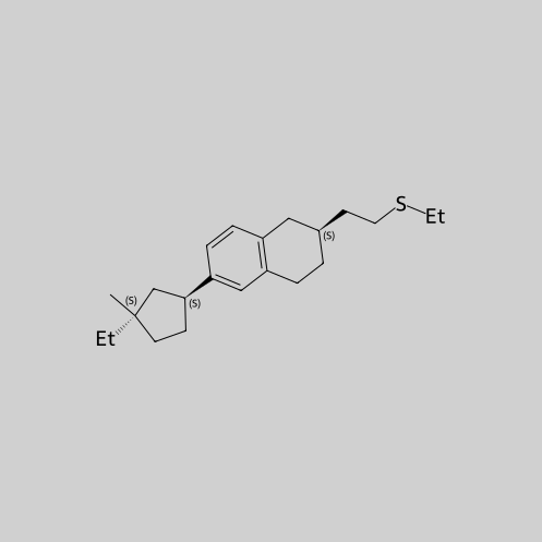 CCSCC[C@H]1CCc2cc([C@H]3CC[C@](C)(CC)C3)ccc2C1